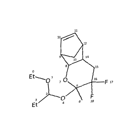 CCOC(CC)OC1(C)OC2C3C=CC(C3)C2CC1(F)F